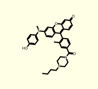 CCCCN1CCN(C(=O)c2ccc(-c3c4ccc(=O)cc-4oc4cc(N(C)c5ccc(O)cc5)ccc34)c(C)c2)CC1